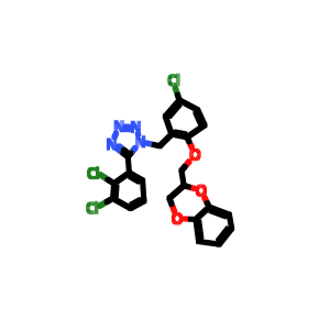 Clc1ccc(OCC2COc3ccccc3O2)c(Cn2nnnc2-c2cccc(Cl)c2Cl)c1